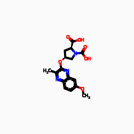 COc1ccc2nc(C)c(O[C@@H]3C[C@@H](C(=O)O)N(C(=O)O)C3)nc2c1